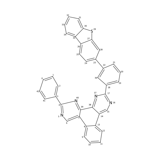 c1ccc(-c2ncc3c4ccccc4c4cnc(-c5cccc(-c6ccc7c(c6)sc6ccccc67)c5)nc4c3n2)cc1